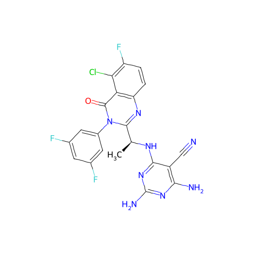 C[C@H](Nc1nc(N)nc(N)c1C#N)c1nc2ccc(F)c(Cl)c2c(=O)n1-c1cc(F)cc(F)c1